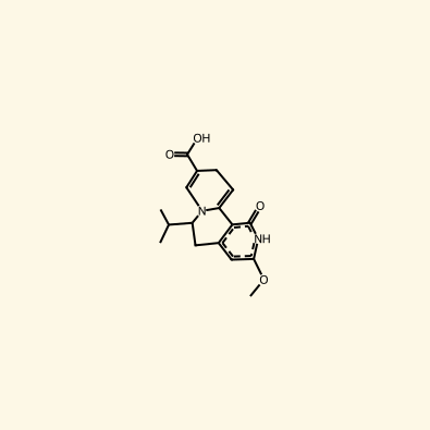 COc1cc2c(c(=O)[nH]1)C1=CCC(C(=O)O)=CN1C(C(C)C)C2